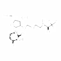 O=C(NCCOCO[C@@H]1[C@@H](O)[C@@H](CO)O[C@H]1n1ccc(=O)[nH]c1=O)C(F)(F)F